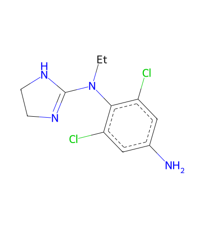 CCN(C1=NCCN1)c1c(Cl)cc(N)cc1Cl